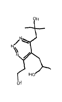 CC(O)Cc1c(CCO)nnnc1CC(C)(C)O